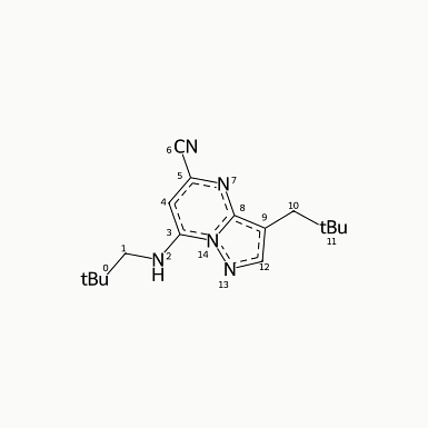 CC(C)(C)CNc1cc(C#N)nc2c(CC(C)(C)C)cnn12